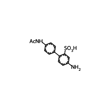 CC(=O)Nc1ccc(-c2ccc(N)cc2S(=O)(=O)O)cc1